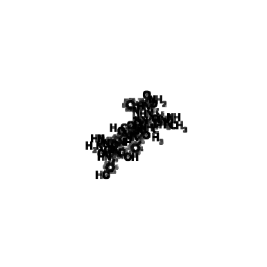 CNC(=N)NCCC[C@H](NC(=O)[C@H](CC(C)C)NC(=O)NNC(=O)[C@H](Cc1ccccc1)NC(=O)[C@@H](NC(=O)[C@H](CCCNC(=N)N)NC(=O)[C@@H]1C[C@@H](O)CN1C(=O)[C@@H](Cc1ccc(O)cc1)NC(C)=O)[C@@H](C)O)C(=O)N[C@@H](Cc1c[nH]c2ccccc12)C(N)=O